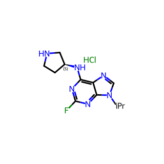 CC(C)n1cnc2c(N[C@H]3CCNC3)nc(F)nc21.Cl